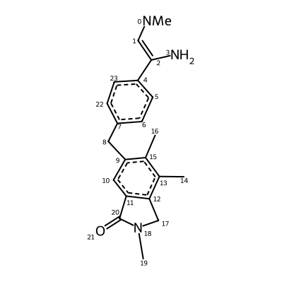 CN/C=C(\N)c1ccc(Cc2cc3c(c(C)c2C)CN(C)C3=O)cc1